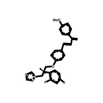 C=C(/C=C/c1ccc(OC[C@@](C)(Cn2cncn2)c2ccc(F)cc2F)cc1)c1ccc(OC)cc1